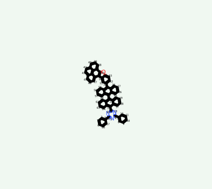 c1ccc(-c2nc(-c3ccccc3)nc(-c3c4ccccc4c(-c4c5ccccc5c(-c5ccc6oc7c8cccc9ccc%10cccc(c7c6c5)c%10c98)c5ccccc45)c4ccccc34)n2)cc1